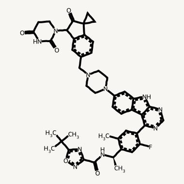 Cc1cc(-c2ncnc3[nH]c4cc(N5CCN(Cc6ccc7c(c6)C(N6CCC(=O)NC6=O)C(=O)C76CC6)CC5)ccc4c23)c(F)cc1[C@@H](C)NC(=O)c1noc(C(C)(C)C)n1